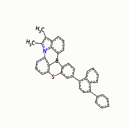 Cc1c(C)n2c3c(cccc13)B1c3ccc(-c4ccc(-c5ccccc5)c5ccccc45)cc3Sc3cccc-2c31